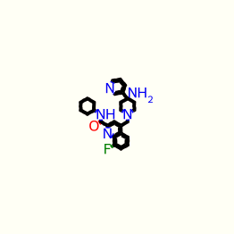 NC1(c2cccnc2)CCN(Cc2cc(C(=O)NC3CCCCC3)nc3c(F)cccc23)CC1